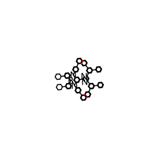 c1ccc(-c2ccc(N3c4ccc(C5CCCCC5)cc4B4c5cc(C6CCCCC6)ccc5N(c5ccc(-c6ccccc6)cc5)c5cc(-c6nc(-c7cc(-c8ccccc8)cc(-c8ccccc8)c7)cc(-c7cc(-c8ccccc8)cc(-c8ccccc8)c7)n6)cc3c54)cc2)cc1